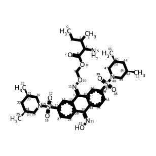 CCC(C)C(N)C(=O)OCON=C1c2cc(S(=O)(=O)N3C[C@H](C)C[C@H](C)C3)ccc2C(=NO)c2ccc(S(=O)(=O)N3C[C@H](C)C[C@H](C)C3)cc21